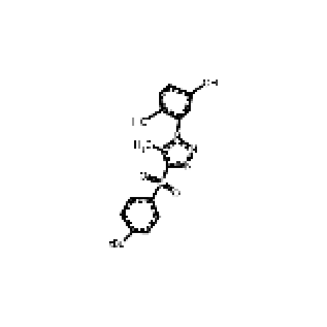 Cc1c(S(=O)(=O)c2ccc(C(C)(C)C)cc2)nnn1-c1cc(O)ccc1O